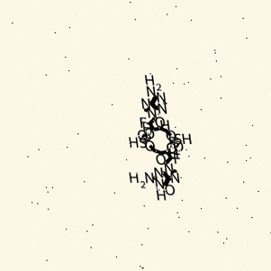 Nc1nc2c(ncn2[C@@H]2OC3CO[P@@](=O)(S)O[C@H]4[C@@H](F)[C@H](n5cnc6c(N)ncnc65)O[C@@H]4CO[P@@](=O)(S)O[C@H]3[C@H]2F)c(=O)[nH]1